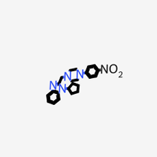 O=[N+]([O-])c1ccc(N2CCN(Cc3nc4ccccc4n3C3CCCC3)CC2)cc1